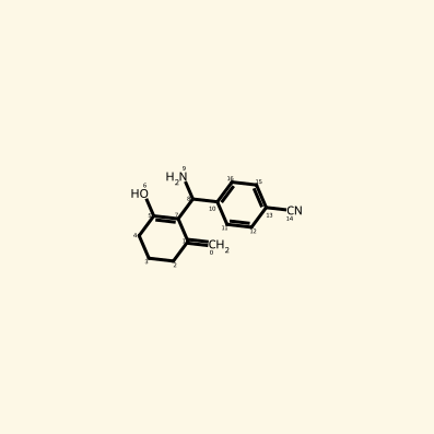 C=C1CCCC(O)=C1C(N)c1ccc(C#N)cc1